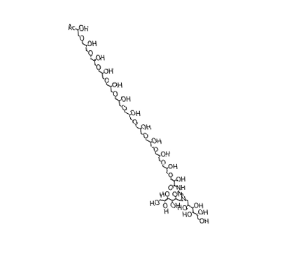 CC(=O)C(O)COCC(O)COCC(O)COCC(O)COCC(O)COCC(O)COCC(O)COCC(O)COCC(O)COCC(O)COCC(O)COCC(O)C(=O)NCCN(C[C@H](O)[C@@H](O)[C@H](O)[C@H](O)CO)C[C@H](O)[C@@H](O)[C@H](O)[C@H](O)CO